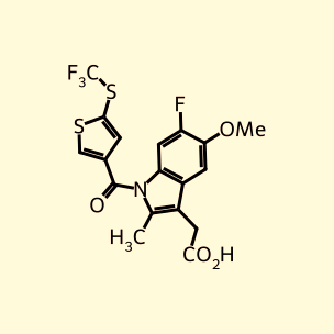 COc1cc2c(CC(=O)O)c(C)n(C(=O)c3csc(SC(F)(F)F)c3)c2cc1F